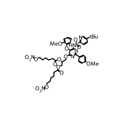 COc1ccc(-c2nc(NS(=O)(=O)c3ccc(C(C)(C)C)cn3)c(Oc3ccccc3OC)c(OCC(COC(=O)CCCCCO[N+](=O)[O-])OC(=O)CCCCCO[N+](=O)[O-])n2)cc1